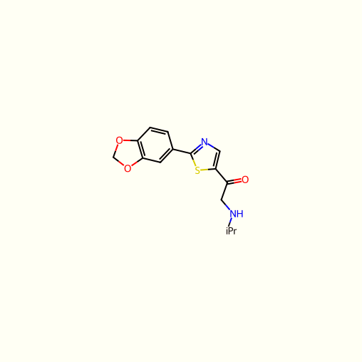 CC(C)NCC(=O)c1cnc(-c2ccc3c(c2)OCO3)s1